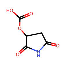 O=C1CC(OC(=O)O)C(=O)N1